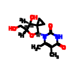 [2H][C@]1(CO)O[C@@H](n2c(C)c(C)c(=O)[nH]c2=O)C2(CC2)[C@]1([2H])O